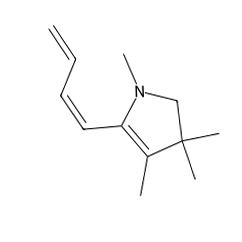 C=C/C=C\C1=C(C)C(C)(C)CN1C